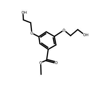 COC(=O)c1cc(OCCO)cc(OCCO)c1